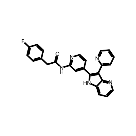 O=C(Cc1ccc(F)cc1)Nc1cc(-c2[nH]c3cccnc3c2-c2ccccn2)ccn1